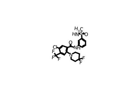 CS(=N)(=O)c1cccc(NC(=O)c2cc(Cl)c(C(F)(F)F)cc2N2CCC(F)(F)CC2)c1